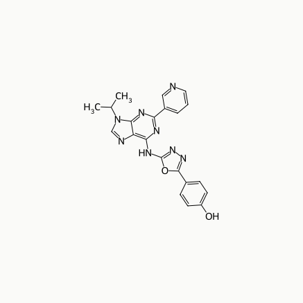 CC(C)n1cnc2c(Nc3nnc(-c4ccc(O)cc4)o3)nc(-c3cccnc3)nc21